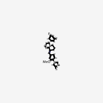 COc1cc(/C=C2\CCCN3C2=NOC[C@@H]3c2cc(F)cc(F)c2)ccc1-n1cnc(C)c1